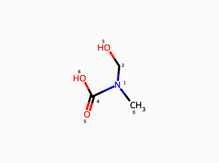 CN(CO)C(=O)O